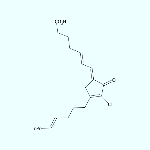 CCCC=CCCCC1=C(Cl)C(=O)C(=CC=CCCCC(=O)O)C1